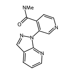 CNC(=O)c1ccncc1-n1ncc2cccnc21